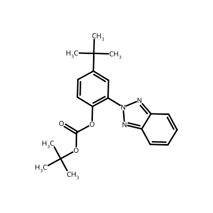 CC(C)(C)OC(=O)Oc1ccc(C(C)(C)C)cc1-n1nc2ccccc2n1